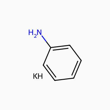 Nc1ccccc1.[KH]